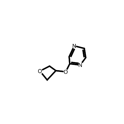 c1cnc(OC2COC2)cn1